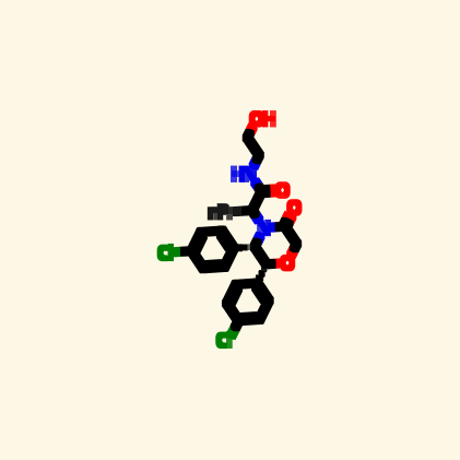 CCCC(C(=O)NCCO)N1C(=O)CO[C@H](c2ccc(Cl)cc2)[C@@H]1c1ccc(Cl)cc1